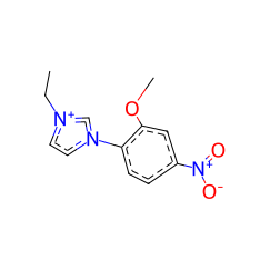 CC[n+]1ccn(-c2ccc([N+](=O)[O-])cc2OC)c1